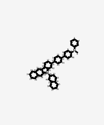 CN(c1ccccc1)c1ccc(-c2ccc(-c3ccc4c5cc6ccccc6cc5n(-c5ccc6ccccc6c5)c4c3)cc2)cc1